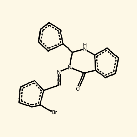 O=C1c2ccccc2NC(c2ccccc2)N1N=Cc1ccccc1Br